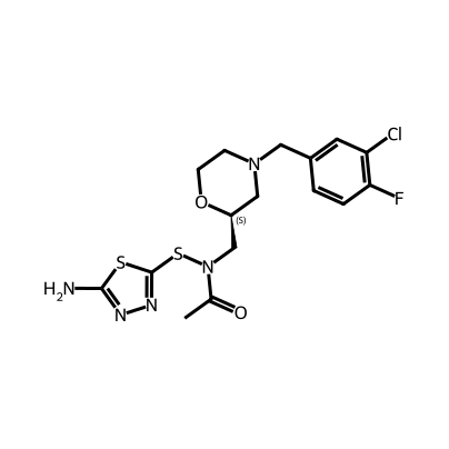 CC(=O)N(C[C@@H]1CN(Cc2ccc(F)c(Cl)c2)CCO1)Sc1nnc(N)s1